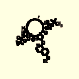 CCOc1ccc2c(O[C@@H]3C[C@H]4C(=O)N[C@]5(C(=O)NS(=O)(=O)C6(C)CC6)C[C@H]5/C=C\CC[C@H](C)C[C@@H](CC)[C@H](NC(=O)OC(C)(C)C(F)(F)F)C(=O)N4C3)nccc2c1